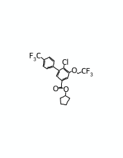 O=C(OC1CCCC1)c1cc(OCC(F)(F)F)c(Cl)c(-c2ccc(C(F)(F)F)cc2)c1